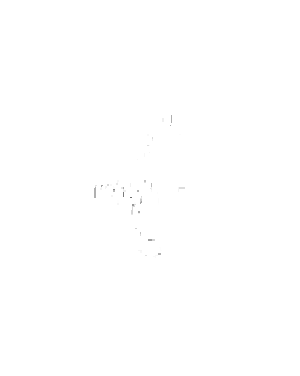 C=CCOC(=O)O[C@@H]1CN(C(=O)O)[C@](C)(C(=O)N2CCN(c3ccccc3)CC2)[C@@](C)(C(=O)O)C1